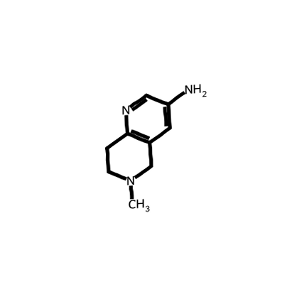 CN1CCc2ncc(N)cc2C1